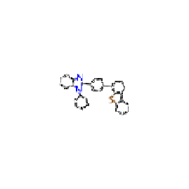 c1ccc(-n2c(-c3ccc(-c4cccc5c4sc4ccccc45)cc3)nc3ccccc32)cc1